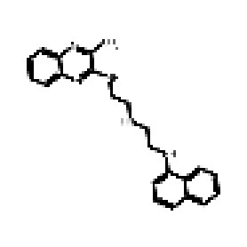 Cc1nc2ccccc2nc1NCCNCCNc1cccc2ccccc12